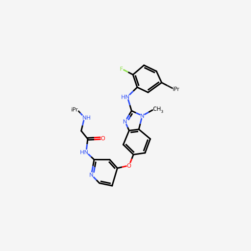 CC(C)NCC(=O)Nc1cc(Oc2ccc3c(c2)nc(Nc2cc(C(C)C)ccc2F)n3C)ccn1